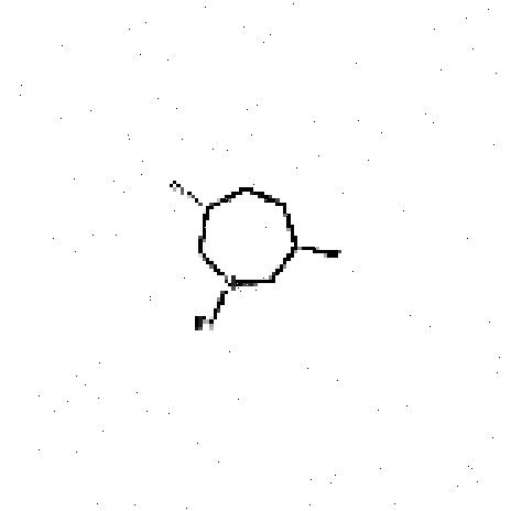 CC(C)N1C[C@H](C)CC[C@@H](C)C1